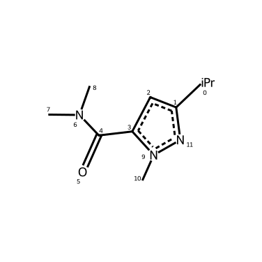 CC(C)c1cc(C(=O)N(C)C)n(C)n1